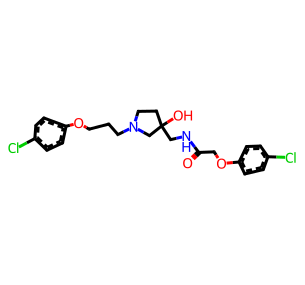 O=C(COc1ccc(Cl)cc1)NCC1(O)CCN(CCCOc2ccc(Cl)cc2)C1